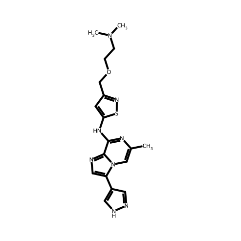 Cc1cn2c(-c3cn[nH]c3)cnc2c(Nc2cc(COCCN(C)C)ns2)n1